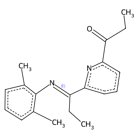 CCC(=O)c1cccc(/C(CC)=N/c2c(C)cccc2C)n1